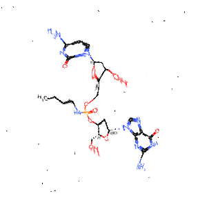 CCCCNP(=O)(OC[C@H]1O[C@@H](n2ccc(N)nc2=O)CC1O)OC1C[C@H](n2cnc3c(=O)[nH]c(N)nc32)O[C@@H]1CO